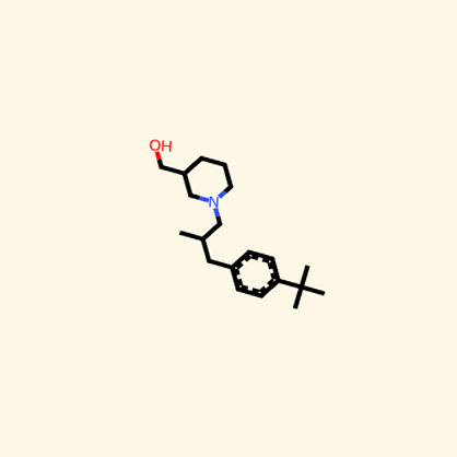 CC(Cc1ccc(C(C)(C)C)cc1)CN1CCCC(CO)C1